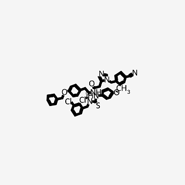 COc1ccc(NC(=S)N(Cc2cccc(Cl)c2Cl)C[C@H](Cc2ccc(OCc3ccccc3)cc2)NC(=O)Cc2cncn2Cc2ccc(C#N)cc2)cc1